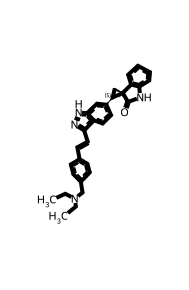 CCN(CC)Cc1ccc(C=Cc2n[nH]c3cc([C@@H]4C[C@@]45C(=O)Nc4ccccc45)ccc23)cc1